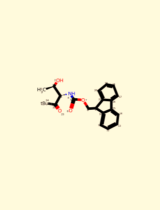 C[C@@H](O)[C@H](NC(=O)OCC1c2ccccc2-c2ccccc21)C(=O)C(C)(C)C